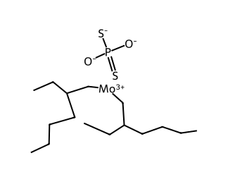 CCCCC(CC)[CH2][Mo+3][CH2]C(CC)CCCC.[O-]P([O-])(=S)[S-]